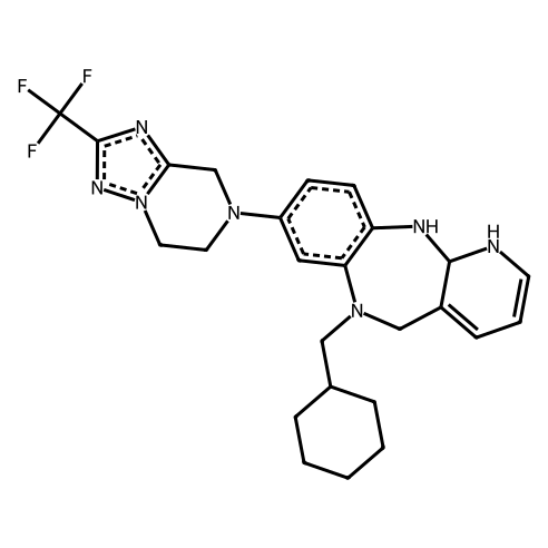 FC(F)(F)c1nc2n(n1)CCN(c1ccc3c(c1)N(CC1CCCCC1)CC1=CC=CNC1N3)C2